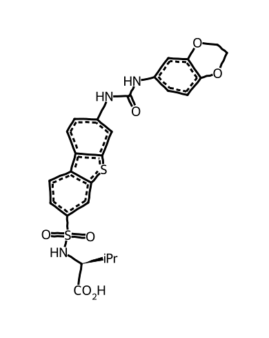 CC(C)[C@H](NS(=O)(=O)c1ccc2c(c1)sc1cc(NC(=O)Nc3ccc4c(c3)OCCO4)ccc12)C(=O)O